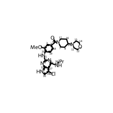 COc1cc(C(=O)N2CCC(N3CCOCC3)CC2)ccc1Nc1nc(NC(C)C)c2c(Cl)c[nH]c2n1